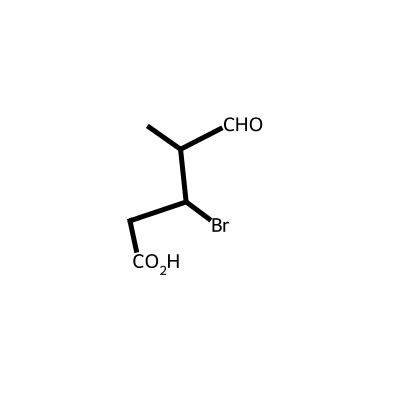 CC(C=O)C(Br)CC(=O)O